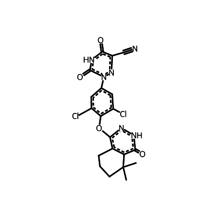 CC1(C)CCCc2c(Oc3c(Cl)cc(-n4nc(C#N)c(=O)[nH]c4=O)cc3Cl)n[nH]c(=O)c21